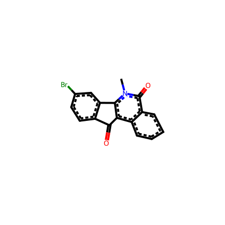 Cn1c2c(c3ccccc3c1=O)C(=O)c1ccc(Br)cc1-2